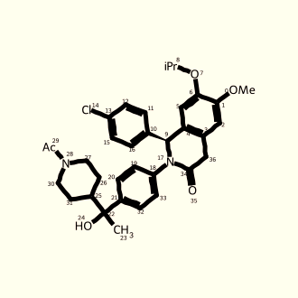 COc1cc2c(cc1OC(C)C)[C@H](c1ccc(Cl)cc1)N(c1ccc(C(C)(O)C3CCN(C(C)=O)CC3)cc1)C(=O)C2